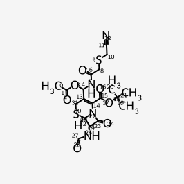 CC(=O)OC(NC(=O)CSCC#N)C1=C(C(=O)OC(C)(C)C)N2C(=O)[C@H](NC=O)[C@H]2SC1